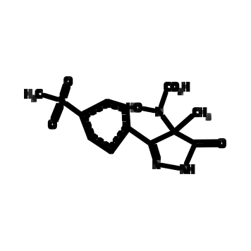 CC1(N(O)C(=O)O)C(=O)NN=C1c1ccc(S(C)(=O)=O)cc1